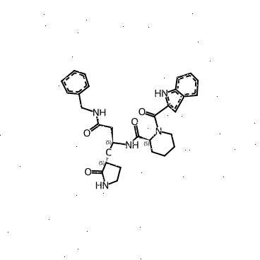 O=C(C[C@H](C[C@@H]1CCNC1=O)NC(=O)[C@@H]1CCCCN1C(=O)c1cc2ccccc2[nH]1)NCc1ccccc1